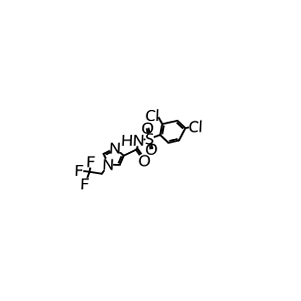 O=C(NS(=O)(=O)c1ccc(Cl)cc1Cl)c1cn(CC(F)(F)F)cn1